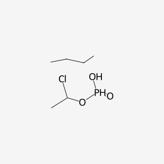 CC(Cl)O[PH](=O)O.CCCC